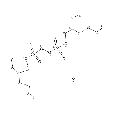 CCCCC(CC)COS(=O)(=O)OOS(=O)(=O)OCC(CC)CCCC.[K]